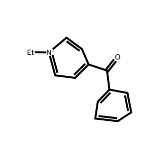 CC[n+]1ccc(C(=O)c2ccccc2)cc1